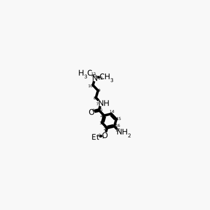 CCOc1cc(C(=O)NCCCN(C)C)ccc1N